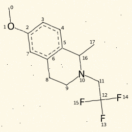 COc1ccc2c(c1)CCN(CC(F)(F)F)C2C